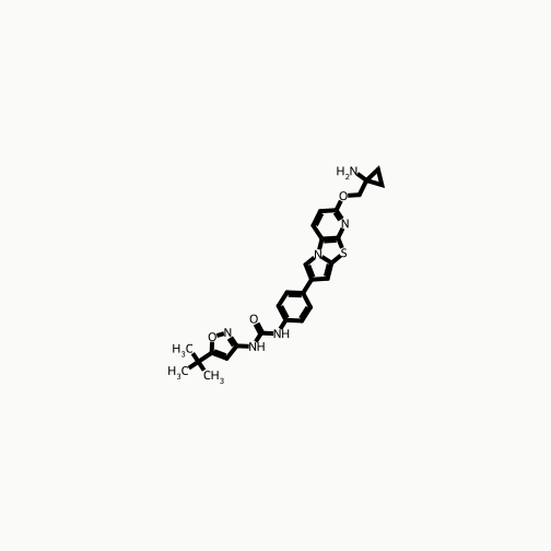 CC(C)(C)c1cc(NC(=O)Nc2ccc(-c3cc4sc5nc(OCC6(N)CC6)ccc5n4c3)cc2)no1